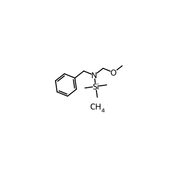 C.COCN(Cc1ccccc1)[Si](C)(C)C